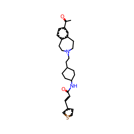 CC(=O)c1ccc2c(c1)CCN(CCC1CCC(NC(=O)C=Cc3ccsc3)CC1)CC2